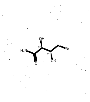 NC(=O)[C@@H](O)[C@H](O)CBr